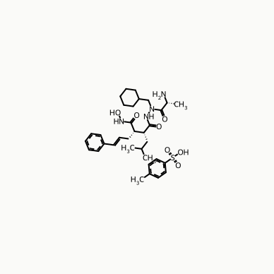 CC(C)C[C@@H](C(=O)NN(CC1CCCCC1)C(=O)[C@@H](C)N)[C@H](CC=Cc1ccccc1)C(=O)NO.Cc1ccc(S(=O)(=O)O)cc1